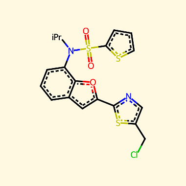 CC(C)N(c1cccc2cc(-c3ncc(CCl)s3)oc12)S(=O)(=O)c1cccs1